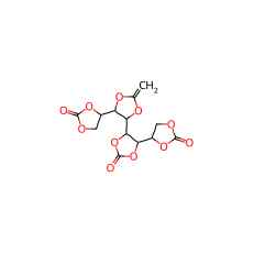 C=C1OC(C2COC(=O)O2)C(C2OC(=O)OC2C2COC(=O)O2)O1